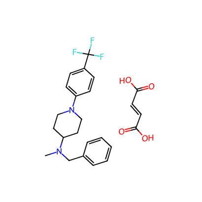 CN(Cc1ccccc1)C1CCN(c2ccc(C(F)(F)F)cc2)CC1.O=C(O)C=CC(=O)O